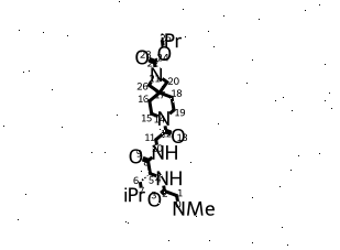 CNCC(=O)N[C@H](CC(C)C)C(=O)NCC(=O)N1CCC2(CC1)CN(C(=O)OC(C)C)C2